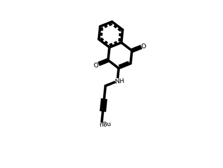 CCCCC#CCNC1=CC(=O)c2ccccc2C1=O